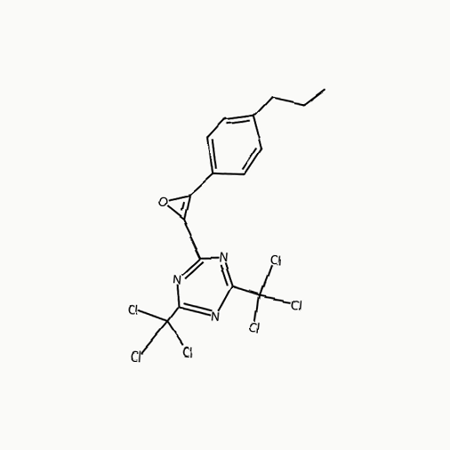 CCCc1ccc(C2=C(c3nc(C(Cl)(Cl)Cl)nc(C(Cl)(Cl)Cl)n3)O2)cc1